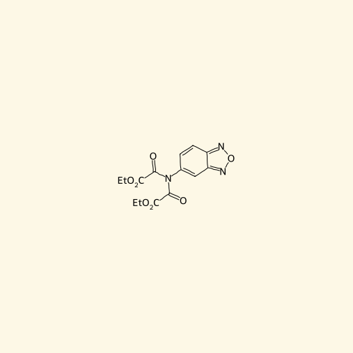 CCOC(=O)C(=O)N(C(=O)C(=O)OCC)c1ccc2nonc2c1